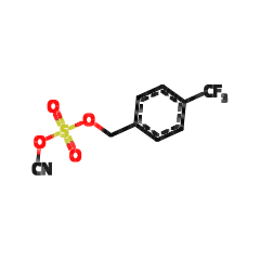 N#COS(=O)(=O)OCc1ccc(C(F)(F)F)cc1